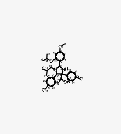 COc1ccc(C2NC(C(=O)O)(c3ccc(Cl)cc3)C(c3ccc(Cl)cc3)N2CC(C)C)c(OC(C)C)c1